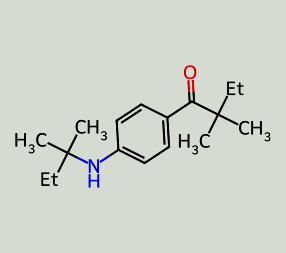 CCC(C)(C)Nc1ccc(C(=O)C(C)(C)CC)cc1